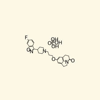 O=C1CCc2cc(OCCCN3CCC(c4noc5cc(F)ccc45)CC3)cc3c2N1CC3.O=P(O)(O)O